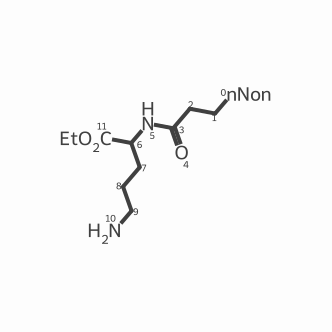 CCCCCCCCCCCC(=O)NC(CCCN)C(=O)OCC